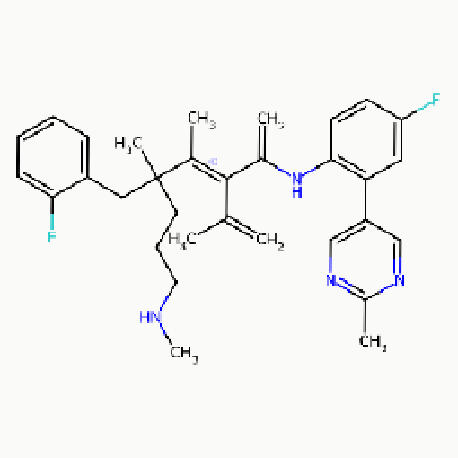 C=C(C)/C(C(=C)Nc1ccc(F)cc1-c1cnc(C)nc1)=C(/C)C(C)(CCCNC)Cc1ccccc1F